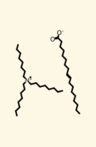 CCCCCCCCC=CCCCCCCCC(=O)[O-].CCCCCCCC[N+](C)(CCCCCCCC)CCCCCCCC